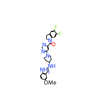 COc1ccc(N)c(CCNC2CCN(c3cc(C(=O)N4CCc5cc(F)c(F)cc54)ncn3)CC2)c1